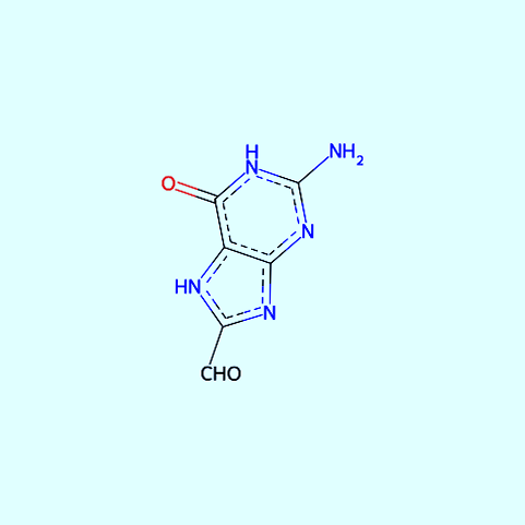 Nc1nc2nc(C=O)[nH]c2c(=O)[nH]1